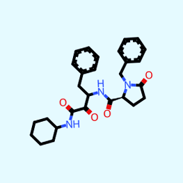 O=C(NC1CCCCC1)C(=O)C(Cc1ccccc1)NC(=O)[C@@H]1CCC(=O)N1Cc1ccccc1